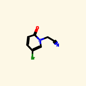 N#CCn1cc(Br)ccc1=O